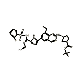 CCc1cc(-c2ccc(/C(=N\C=N)NS(=O)(=O)c3ccccc3Cl)[nH]2)cc2cnc(N[C@H]3CCN(C(=O)OC(C)(C)C)C3)nc12